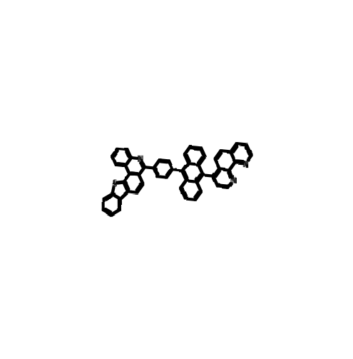 c1cnc2c(c1)ccc1c(-c3c4ccccc4c(-c4ccc(-c5nc6ccccc6c6c5ccc5c7ccccc7sc56)cc4)c4ccccc34)ccnc12